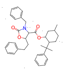 CC1CCC(C(C)(C)c2ccccc2)C(OC(=O)C2C(CCc3ccccc3)OC(=O)N2Cc2ccccc2)C1